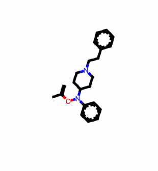 C=C(C)ON(c1ccccc1)C1CCN(CCc2ccccc2)CC1